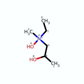 CC[N+](C)(O)[CH]C(C)O